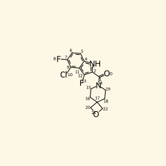 O=C(c1[nH]c2ccc(F)c(Cl)c2c1F)N1CCC2(CC1)COC2